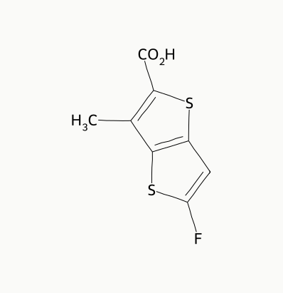 Cc1c(C(=O)O)sc2cc(F)sc12